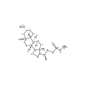 CC(=O)O[C@@H]1CC[C@@]2(C)[C@H](CC[C@@H]3[C@@H]2CC[C@]2(C)C([C@H](C)CCC(=O)OC(C)(C)C)CC[C@@H]32)C1